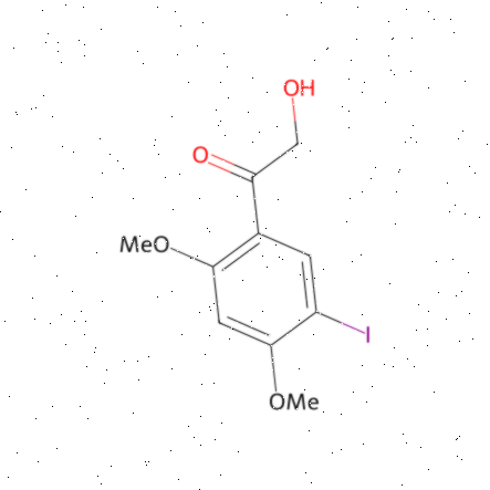 COc1cc(OC)c(C(=O)CO)cc1I